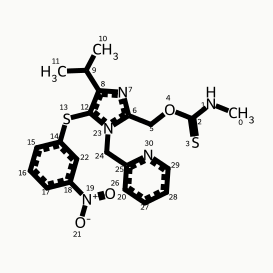 CNC(=S)OCc1nc(C(C)C)c(Sc2cccc([N+](=O)[O-])c2)n1Cc1ccccn1